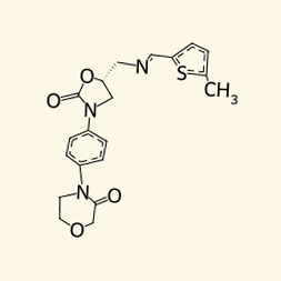 Cc1ccc(/C=N/C[C@@H]2CN(c3ccc(N4CCOCC4=O)cc3)C(=O)O2)s1